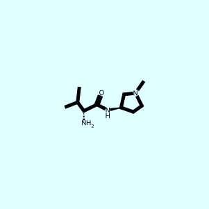 CC(C)[C@@H](N)C(=O)N[C@@H]1CCN(C)C1